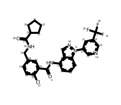 O=C(Nc1cccc2c1cnn2-c1cncc(C(F)(F)F)c1)c1cc(CNC(=O)C2CCCC2)ccc1Cl